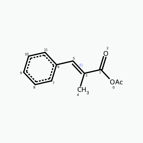 CC(=O)OC(=O)/C(C)=C/c1ccccc1